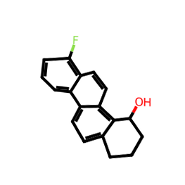 OC1CCCc2ccc3c(ccc4c(F)cccc43)c21